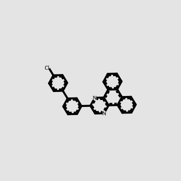 Clc1ccc(-c2cccc(-c3cnc4c5ccccc5c5ccccc5c4n3)c2)cc1